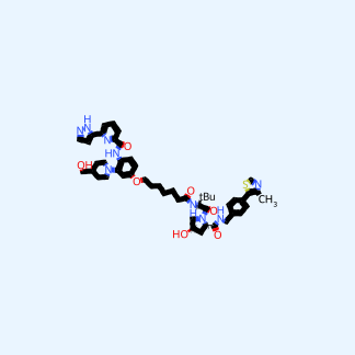 Cc1ncsc1-c1ccc(CNC(=O)[C@@H]2C[C@@H](O)CN2C(=O)[C@@H](NC(=O)CCCCCCOc2ccc(NC(=O)c3cccc(-c4ccn[nH]4)n3)c(N3CCC(CO)CC3)c2)C(C)(C)C)cc1